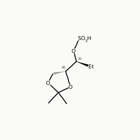 CC[C@H](OS(=O)(=O)O)[C@H]1COC(C)(C)O1